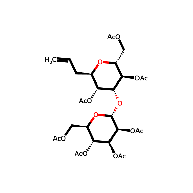 C=CC[C@H]1O[C@H](COC(C)=O)[C@@H](OC(C)=O)[C@H](O[C@H]2O[C@H](COC(C)=O)[C@@H](OC(C)=O)[C@H](OC(C)=O)[C@@H]2OC(C)=O)[C@@H]1OC(C)=O